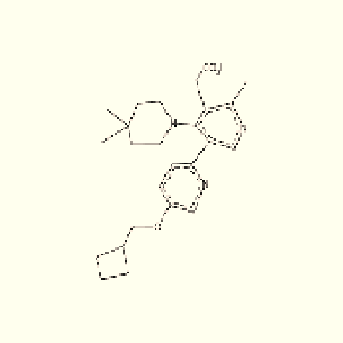 Cc1ncc(-c2ccc(OCC3CCC3)cn2)c(N2CCC(C)(C)CC2)c1CC(=O)O